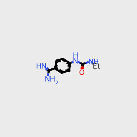 CCNC(=O)Nc1ccc(C(=N)N)cc1